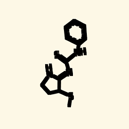 CSC1CCN/C1=N\C(=S)Nc1ccccc1